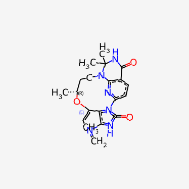 C=Nc1[nH]c(=O)n2c1/C(=C\C)O[C@H](C)CCN1c3nc-2ccc3C(=O)NC1(C)C